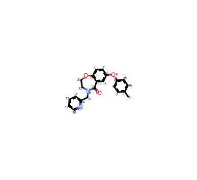 Cc1ccc(Oc2ccc3c(c2)C(=O)N(Cc2ccccn2)CCO3)cc1